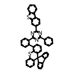 c1ccc(-c2nc(-c3ccc4c(c3)sc3ccccc34)nc(-c3ccccc3-c3cccc4c3Sc3ccccc3C43c4ccccc4-c4ccccc43)n2)cc1